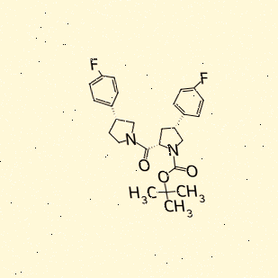 CC(C)(C)OC(=O)N1C[C@@H](c2ccc(F)cc2)C[C@H]1C(=O)N1CC[C@H](c2ccc(F)cc2)C1